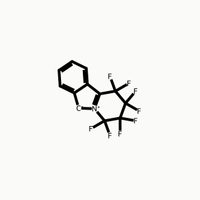 FC1(F)c2c3ccccc3[cH-][n+]2C(F)(F)C(F)(F)C1(F)F